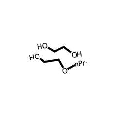 CC[CH]OCCO.OCCO